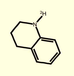 [2H]N1CCCc2ccccc21